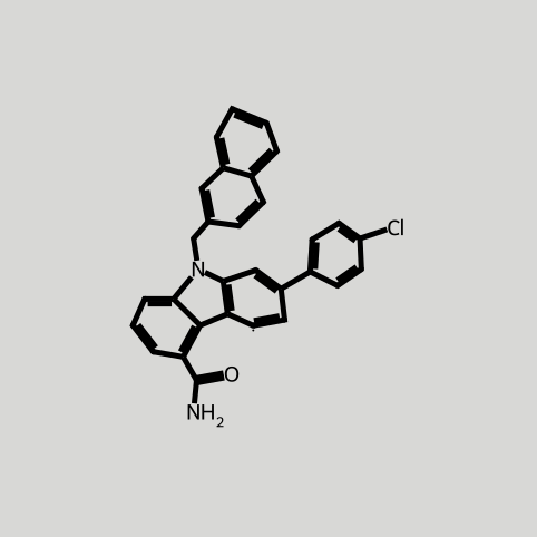 NC(=O)c1cccc2c1c1[c]cc(-c3ccc(Cl)cc3)cc1n2Cc1ccc2ccccc2c1